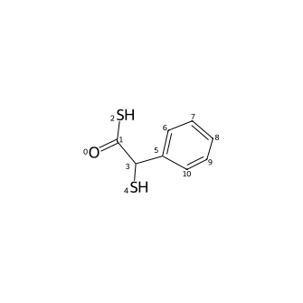 O=C(S)C(S)c1ccccc1